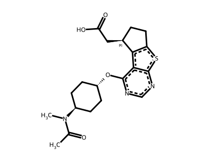 CC(=O)N(C)[C@H]1CC[C@H](Oc2ncnc3sc4c(c23)[C@@H](CC(=O)O)CC4)CC1